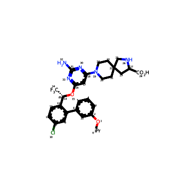 CC(C)Oc1cccc(-c2cc(Cl)ccc2[C@@H](Oc2cc(N3CCC4(CC3)CNC(C(=O)O)C4)nc(N)n2)C(F)(F)F)c1